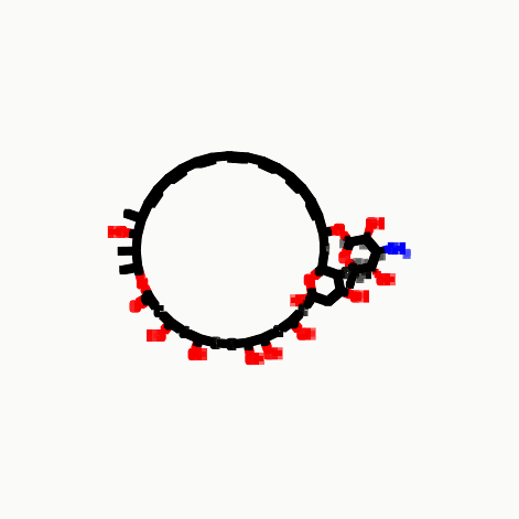 CC1C=CC=CC=CC=CC=CC=CC=CC(O[C@@H]2O[C@H](C)[C@@H](O)[C@H](N)[C@@H]2O)CC2OC(O)(CC(O)CC(O)C(O)CCC(O)CC(O)CC(=O)OC(C)C(C)C1O)CC(O)C2C(=O)O